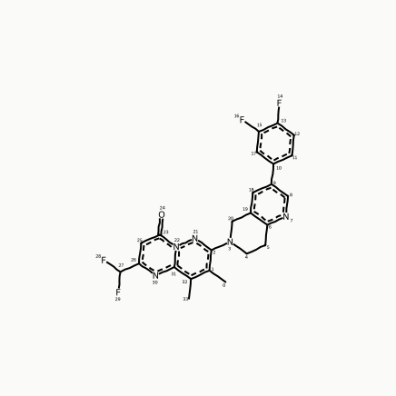 Cc1c(N2CCc3ncc(-c4ccc(F)c(F)c4)cc3C2)nn2c(=O)cc(C(F)F)nc2c1C